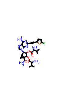 CNC(=O)C12CC1C(n1cnc3c(NC)nc(C#Cc4ccc(F)s4)nc31)C(OC(=O)C(N)C(C)C)C2OC(=O)C(N)C(C)C